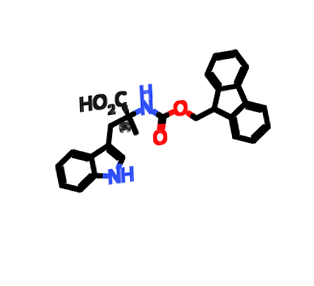 C[C@](Cc1c[nH]c2ccccc12)(NC(=O)OCC1c2ccccc2-c2ccccc21)C(=O)O